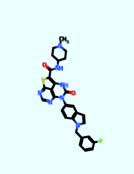 CN1CCC(NC(=O)c2sc3ncnc4c3c2NC(=O)N4c2ccc3c(ccn3Cc3cccc(F)c3)c2)CC1